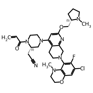 C=CC(=O)N1CCN(c2cc(OC[C@@H]3CCCN3C)nc3c2CCN(c2c(F)c(Cl)cc4c2N(C)CCO4)C3)C[C@@H]1CC#N